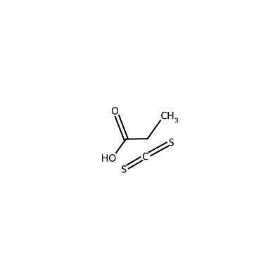 CCC(=O)O.S=C=S